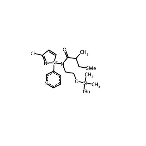 CSCC(C)C(=O)N(CCO[Si](C)(C)C(C)(C)C)[N+]1(c2cccnc2)C=CC(Cl)=N1